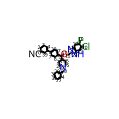 N#Cc1cccc(-c2ccc(C(OCc3nc4cc(F)c(Cl)cc4[nH]3)C3CCN(Cc4ccccc4)CC3)cc2)c1